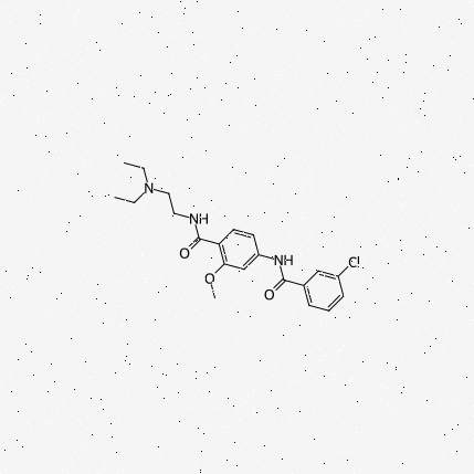 CCN(CC)CCNC(=O)c1ccc(NC(=O)c2cccc(Cl)c2)cc1OC